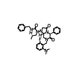 CCCN(C(=O)NCc1ccccc1)N1CC(=O)N2[C@@H](c3ccccc3)C(=O)N(Cc3c(F)cccc3N(C)C)C[C@@H]21